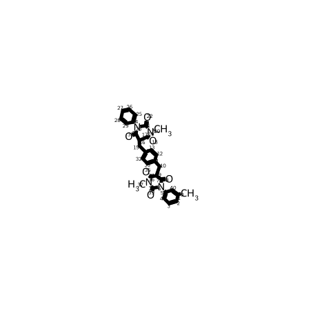 Cc1cccc(N2C(=O)C(Cc3ccc(CC4C(=O)N(C)C(=O)N(c5ccccc5)C4=O)cc3)C(=O)N(C)C2=O)c1